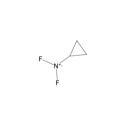 F[N+](F)C1CC1